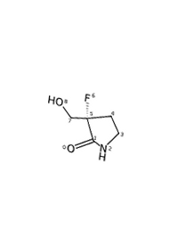 O=C1NCC[C@]1(F)CO